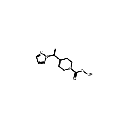 CC(C1CCN(C(=O)OC(C)(C)C)CC1)n1cccn1